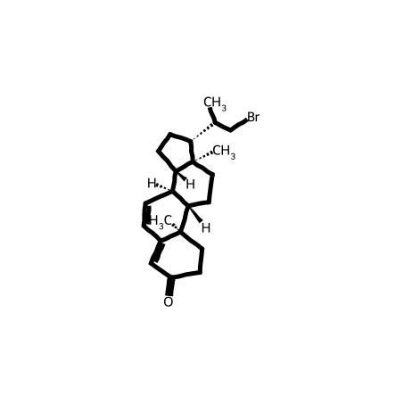 CC(CBr)[C@H]1CC[C@H]2[C@@H]3C=CC4=CC(=O)CC[C@]4(C)[C@H]3CC[C@]12C